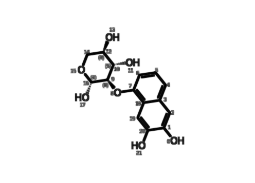 Oc1cc2cccc(O[C@@H]3[C@@H](O)[C@H](O)CO[C@H]3O)c2cc1O